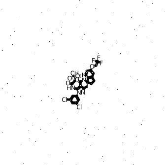 CS(=O)(=O)CC(=O)Nc1c2c(nn1-c1cc(Cl)cc(Cl)c1)C[C@]1(CCc3cc(OCC(F)(F)F)ccc31)NC2=O